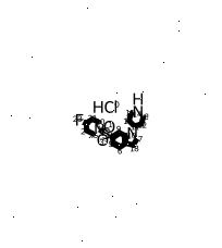 Cl.O=S(=O)(c1ccc2c(c1)N(C1CCNCC1)CC2)N1CCC(F)CC1